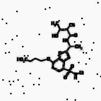 CCNS(=O)(=O)c1ccc(OCCCC(=O)O)c2oc(C(C)NC(=O)C(C#N)=C(C)O)cc12